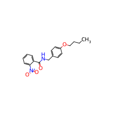 CCCCOc1ccc(CNC(=O)c2ccccc2[N+](=O)[O-])cc1